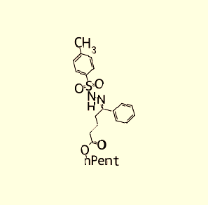 CCCCCOC(=O)CCC/C(=N\NS(=O)(=O)c1ccc(C)cc1)c1ccccc1